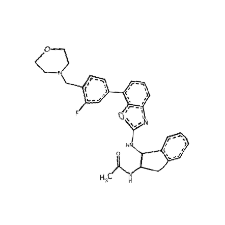 CC(=O)NC1Cc2ccccc2C1Nc1nc2cccc(-c3ccc(CN4CCOCC4)c(F)c3)c2o1